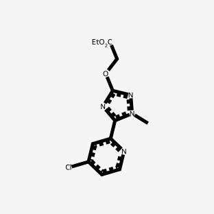 CCOC(=O)COc1nc(-c2cc(Cl)ccn2)n(C)n1